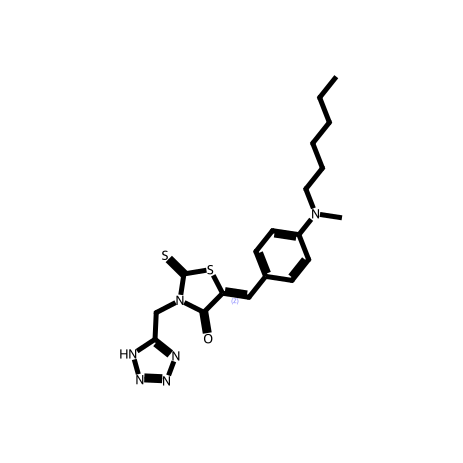 CCCCCCN(C)c1ccc(/C=C2\SC(=S)N(Cc3nnn[nH]3)C2=O)cc1